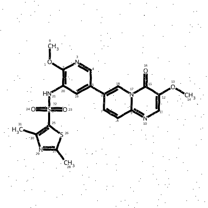 COc1ncc(-c2ccc3ncc(OC)c(=O)n3c2)cc1NS(=O)(=O)c1sc(C)nc1C